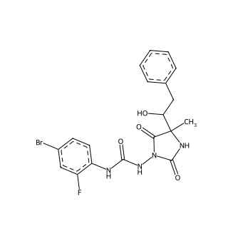 CC1(C(O)Cc2ccccc2)NC(=O)N(NC(=O)Nc2ccc(Br)cc2F)C1=O